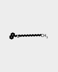 CCCCCCCCCCCCCCCCCCOC[CH]c1cccc2ccccc12